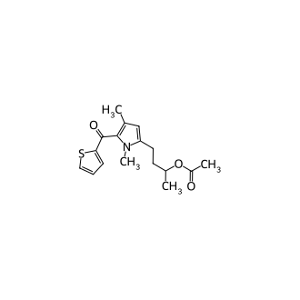 CC(=O)OC(C)CCc1cc(C)c(C(=O)c2cccs2)n1C